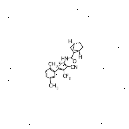 Cc1ccc(C)c(-c2sc(NC(=O)[C@H]3C[C@H]4CC[C@H]3C4)c(C#N)c2C(F)(F)F)c1